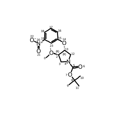 CO[C@@H]1CN(C(=O)OC(C)(C)C)C[C@H]1Oc1cccc([N+](=O)[O-])c1